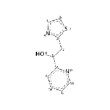 OC(Cc1nccs1)c1ccccn1